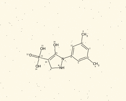 Cc1cc(C)cc(N2NCC(P(=O)(O)O)=C2O)c1